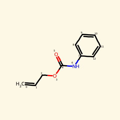 C=CCOC(=O)Nc1ccccc1